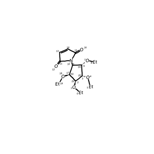 CCO[C@@H]1[C@@H](OCC)[C@@H](OCC)C(N2C(=O)C=CC2=O)[C@@H]1OCC